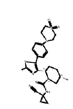 Cc1nc([C@@H]2CC[C@H](F)C[C@H]2C(=O)NC2(C#N)CC2)c(-c2ccc(N3CCS(=O)(=O)CC3)cc2)s1